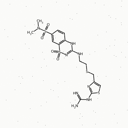 CN(C)S(=O)(=O)c1ccc2c(c1)S(=O)(=O)N=C(NCCSCc1csc(NC(=N)N)n1)N2